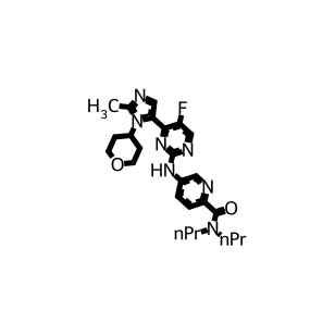 CCCN(CCC)C(=O)c1ccc(Nc2ncc(F)c(-c3cnc(C)n3C3CCOCC3)n2)cn1